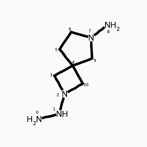 NNN1CC2(CCN(N)C2)C1